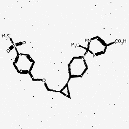 CC1(N2CCC([C@H]3C[C@H]3COCc3ccc(S(C)(=O)=O)cc3)CC2)N=CC(C(=O)O)=CN1